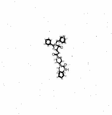 O=C(CC1SC(c2ccccc2)N(Cc2cccnc2)C1=O)N1CCC(N2Cc3ccccc3NC2=O)CC1